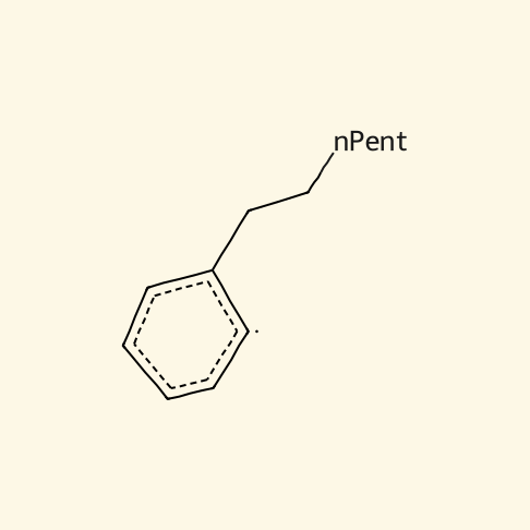 CCCCCCCc1[c]cccc1